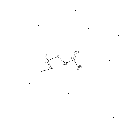 CC=C(C)COC(=O)CCC